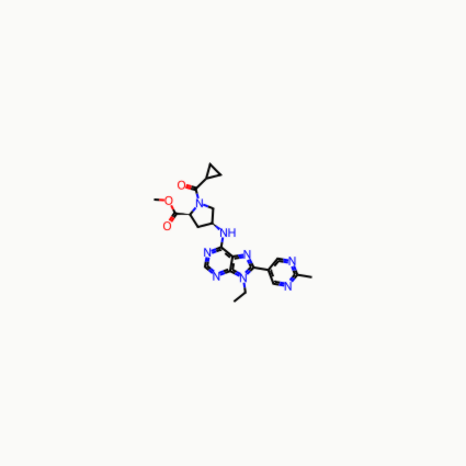 CCn1c(-c2cnc(C)nc2)nc2c(N[C@H]3C[C@@H](C(=O)OC)N(C(=O)C4CC4)C3)ncnc21